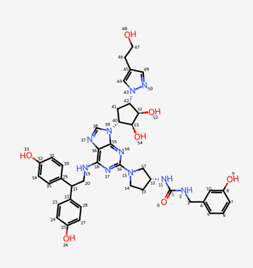 O=C(NCc1cccc(O)c1)N[C@@H]1CCN(c2nc(NCC(c3ccc(O)cc3)c3ccc(O)cc3)c3ncn([C@@H]4C[C@H](n5cc(CCO)cn5)[C@@H](O)[C@H]4O)c3n2)C1